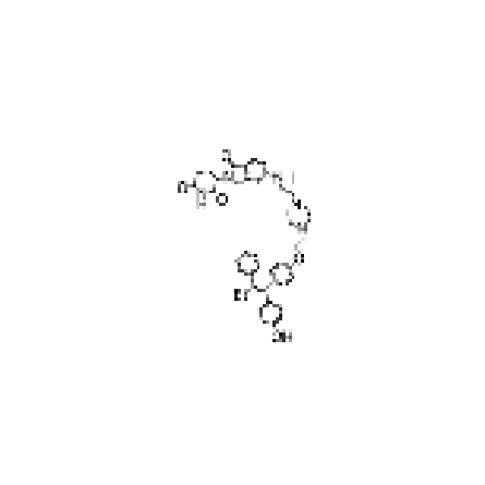 CCC(=C(c1ccc(O)cc1)c1ccc(OCCN2CCN(CCNc3ccc4c(c3)CN(C3CCC(=O)NC3=O)C4=O)CC2)cc1)c1ccccc1